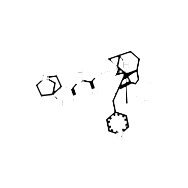 C[C@H]1[C@H](O)[C@](C)(Cc2ccncc2)C[C@@H](OC(=O)NC(=O)[C@H]2CN3CC[C@@H]2C3)[C@]23C[C@@H]2CCC12CCC(=O)C23